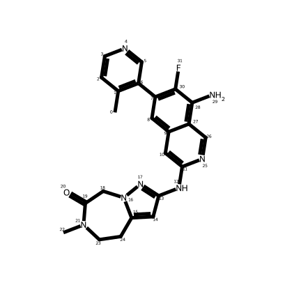 Cc1ccncc1-c1cc2cc(Nc3cc4n(n3)CC(=O)N(C)CC4)ncc2c(N)c1F